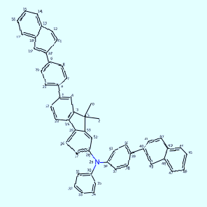 CC1(C)c2cc(-c3ccc(-c4ccc5ccccc5c4)cc3)ccc2-c2ccc(N(c3ccccc3)c3ccc(-c4ccc5ccccc5c4)cc3)cc21